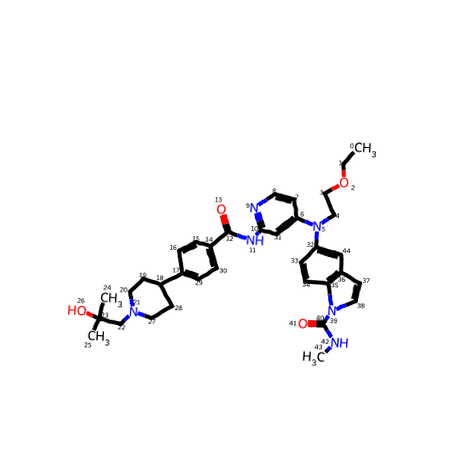 CCOCCN(c1ccnc(NC(=O)c2ccc(C3CCN(CC(C)(C)O)CC3)cc2)c1)c1ccc2c(ccn2C(=O)NC)c1